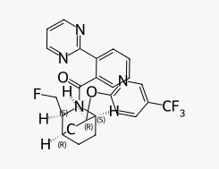 O=C(c1ccccc1-c1ncccn1)N1[C@H](CF)[C@@H]2CC[C@H]1[C@H](Oc1ccc(C(F)(F)F)cn1)C2